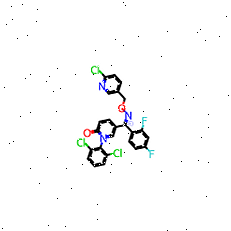 O=c1ccc(/C(=N\OCc2ccc(Cl)nc2)c2ccc(F)cc2F)cn1-c1c(Cl)cccc1Cl